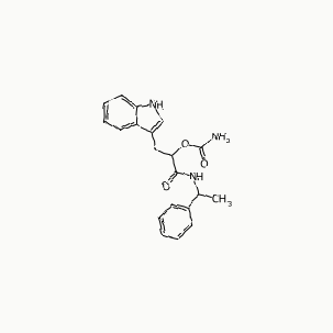 CC(NC(=O)C(Cc1c[nH]c2ccccc12)OC(N)=O)c1ccccc1